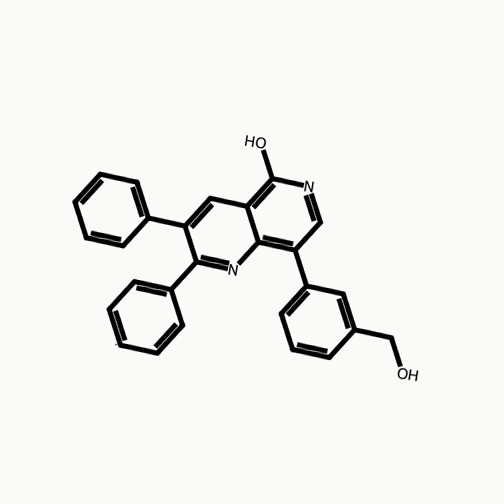 OCc1cccc(-c2cnc(O)c3cc(-c4ccccc4)c(-c4cc[c]cc4)nc23)c1